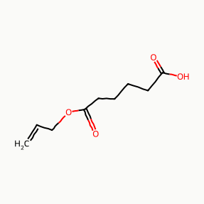 C=CCOC(=O)CCCCC(=O)O